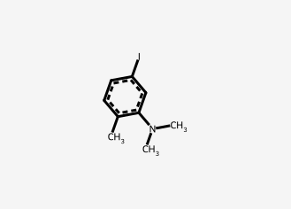 Cc1ccc(I)cc1N(C)C